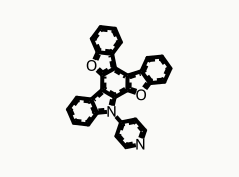 c1ccc2c(c1)oc1c2c2c3ccccc3oc2c2c1c1ccccc1n2-c1ccncc1